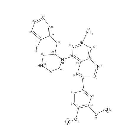 COc1ccc(-c2cnc3nc(N)nc(N4CCNCC4Cc4ccccc4F)c3n2)cc1OC